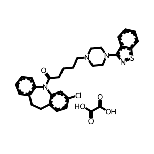 O=C(CCCCN1CCN(c2nsc3ccccc23)CC1)N1c2ccccc2CCc2ccc(Cl)cc21.O=C(O)C(=O)O